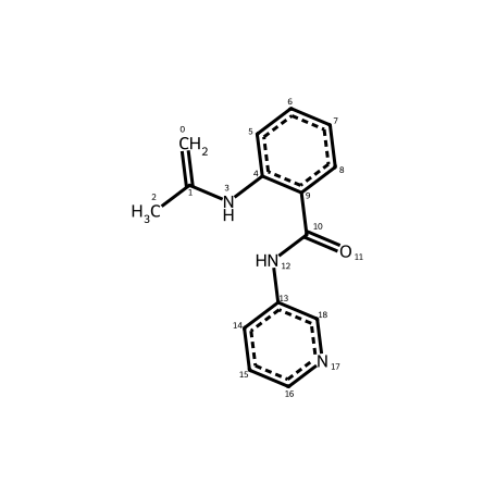 C=C(C)Nc1ccccc1C(=O)Nc1cccnc1